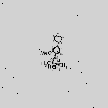 COc1cc(N2CCOCC2)ccc1B1OC(C)(C)C(C)(C)O1